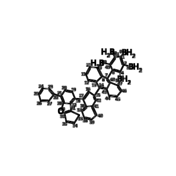 Bc1c(B)c(B)c(-c2c3ccccc3c(-c3cc(-c4ccc(-c5ccccc5)c5oc6c(c45)CC=C6)c4ccccc4c3)c3ccccc23)c(B)c1B